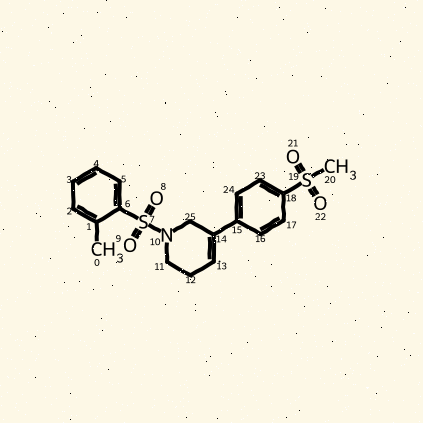 Cc1ccccc1S(=O)(=O)N1CC[C]=C(c2ccc(S(C)(=O)=O)cc2)C1